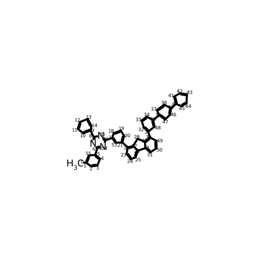 Cc1cccc(-c2nc(-c3ccccc3)nc(-c3cccc(-c4cccc5c4Cc4c(-c6cccc(-c7ccc(-c8ccccc8)cc7)c6)cccc4-5)c3)n2)c1